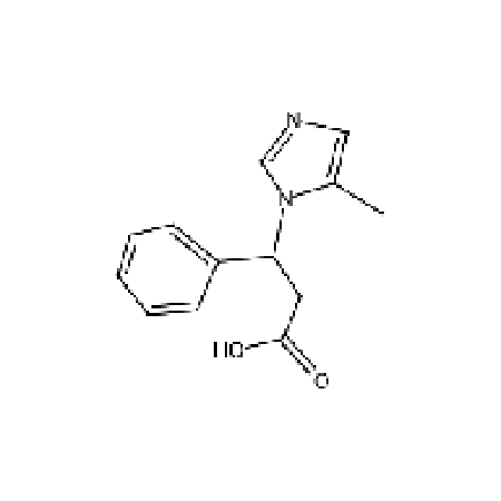 Cc1cncn1C(CC(=O)O)c1ccccc1